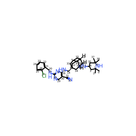 CC1(C)CC(N[C@@H]2[C@@H]3CC4C[C@H]2C[C@@](CNc2nc(NCc5ccccc5Cl)ncc2C#N)(C4)C3)CC(C)(C)N1